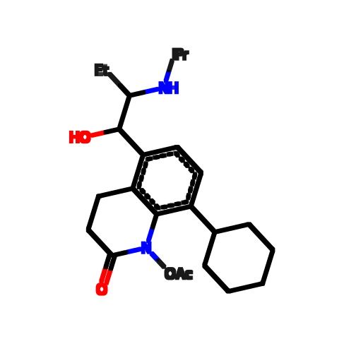 CCC(NC(C)C)C(O)c1ccc(C2CCCCC2)c2c1CCC(=O)N2OC(C)=O